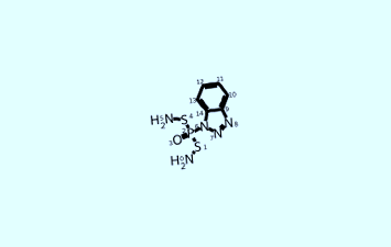 NSP(=O)(SN)n1nnc2ccccc21